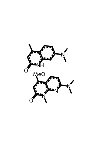 COc1cc(=O)n(C)c2nc(N(C)C)ccc12.Cc1cc(=O)[nH]c2cc(N(C)C)ccc12